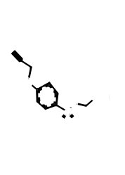 C#CCOc1ccc(S(=O)(=O)OCC(=O)O)cc1